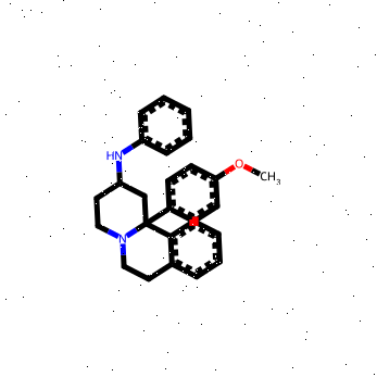 COc1ccc(C23CC(Nc4ccccc4)CCN2CCc2ccccc23)cc1